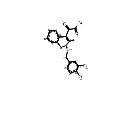 CC1=C(C(=O)C(=O)O)c2ccccc2CN1OCc1ccc(Cl)c(Cl)c1